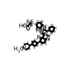 CN1CCC(c2ccc(-c3ccc4ncn(C(c5ccccc5)c5nc6ccccc6[nH]5)c(=O)c4c3F)cc2)CC1.O=C(O)C(F)(F)F